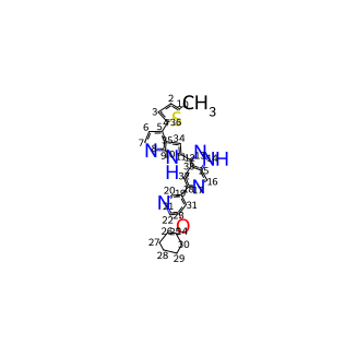 Cc1ccc(-c2ccnc3[nH]c(-c4n[nH]c5cnc(-c6cncc(OC7CCCCC7)c6)cc45)cc23)s1